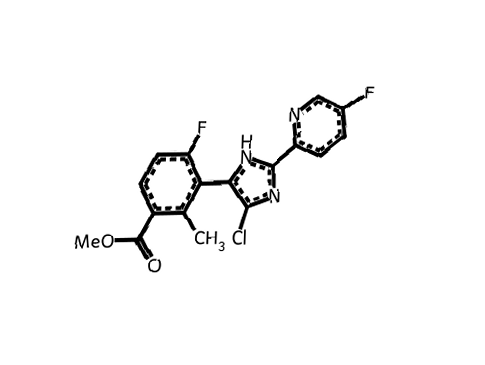 COC(=O)c1ccc(F)c(-c2[nH]c(-c3ccc(F)cn3)nc2Cl)c1C